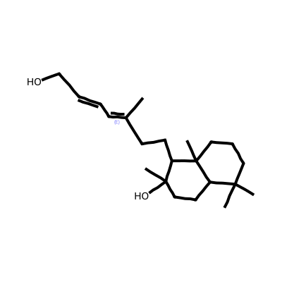 C/C(=C\C=CCO)CCC1C(C)(O)CCC2C(C)(C)CCCC21C